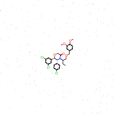 CCC(COCc1ccc(OC)c(OC)c1)N1C(=O)CO[C@H](c2cc(Cl)cc(Cl)c2)[C@H]1c1ccc(Cl)cc1